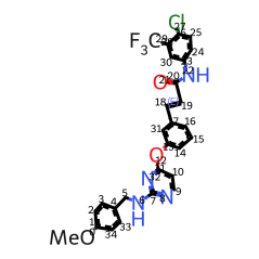 COc1ccc(CNc2nccc(Oc3cccc(/C=C/C(=O)Nc4ccc(Cl)c(C(F)(F)F)c4)c3)n2)cc1